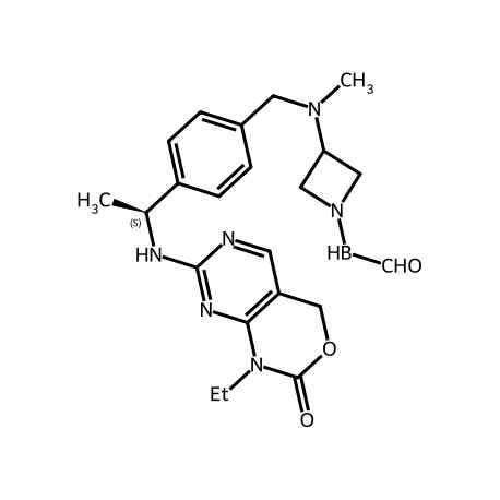 CCN1C(=O)OCc2cnc(N[C@@H](C)c3ccc(CN(C)C4CN(BC=O)C4)cc3)nc21